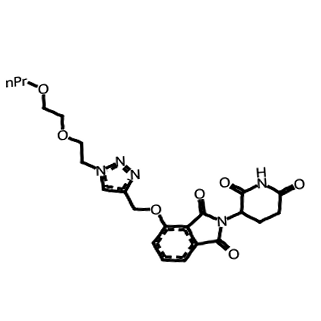 CCCOCCOCCn1cc(COc2cccc3c2C(=O)N(C2CCC(=O)NC2=O)C3=O)nn1